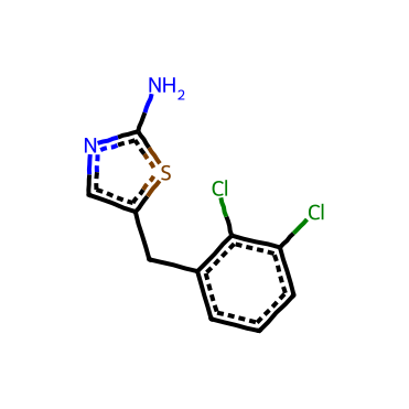 Nc1ncc(Cc2cccc(Cl)c2Cl)s1